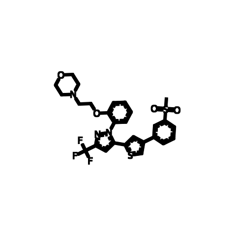 CS(=O)(=O)c1cccc(-c2csc(-c3cc(C(F)(F)F)nn3-c3ccccc3OCCN3CCOCC3)c2)c1